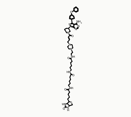 Nc1ncnc2c1c(-c1ccc(Oc3ccccc3)cc1)nn2C1CCCN(C(=O)C=CCN2CCN(CCNC(=O)CCCCCNC(=O)CCCCCNC(=O)CCCCC3SCC4NC(=O)NC43)CC2)C1